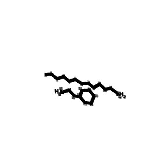 CCCCCCCCCCCCN.NCCC1CCCCC1